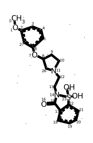 COc1cccc(OC2CCN(CCN3C(=O)c4ccccc4S3(O)O)C2)c1